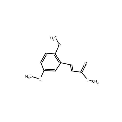 COC(=O)/C=C/c1cc(OC)ccc1OC